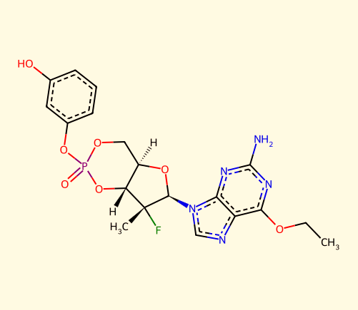 CCOc1nc(N)nc2c1ncn2[C@@H]1O[C@@H]2COP(=O)(Oc3cccc(O)c3)O[C@H]2[C@@]1(C)F